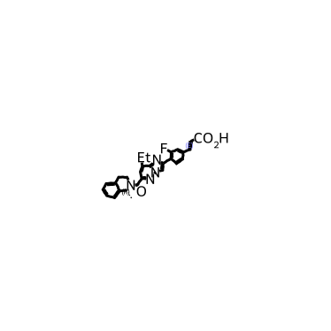 CCc1cc(C(=O)N2CCc3ccccc3[C@H]2C)nn2cc(-c3ccc(/C=C/C(=O)O)cc3F)nc12